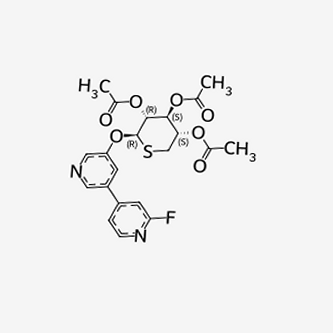 CC(=O)O[C@@H]1[C@@H](OC(C)=O)[C@H](OC(C)=O)CS[C@H]1Oc1cncc(-c2ccnc(F)c2)c1